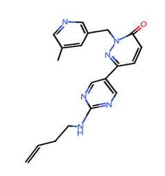 C=CCCNc1ncc(-c2ccc(=O)n(Cc3cncc(C)c3)n2)cn1